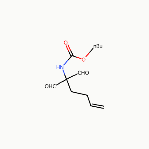 C=CCCC(C=O)(C=O)NC(=O)OCCCC